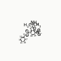 CC(C)(N)C1Cc2c(C(=O)OCc3ccccc3)ccc([N+](=O)[O-])c2O1